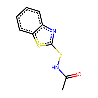 CC(=O)NSc1nc2ccccc2s1